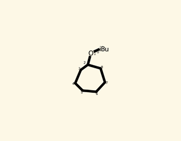 [CH2]C(CC)OC1CCCCCC1